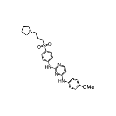 COc1ccc(Nc2ccnc(Nc3ccc(S(=O)(=O)CCCN4CCCC4)cc3)n2)cc1